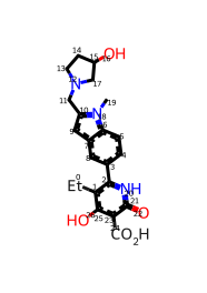 CCc1c(-c2ccc3c(c2)cc(CN2CCC(O)C2)n3C)[nH]c(=O)c(C(=O)O)c1O